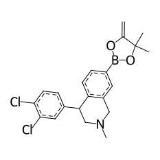 C=C1OB(c2ccc3c(c2)CN(C)CC3c2ccc(Cl)c(Cl)c2)OC1(C)C